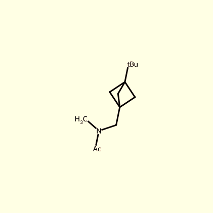 CC(=O)N(C)CC12CC(C(C)(C)C)(C1)C2